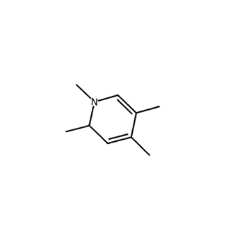 CC1=CC(C)N(C)C=C1C